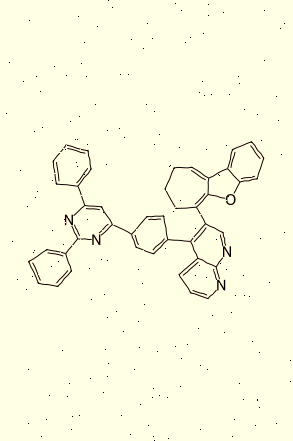 C1=c2c(oc3ccccc23)=C(c2cnc3ncccc3c2-c2ccc(-c3cc(-c4ccccc4)nc(-c4ccccc4)n3)cc2)CCC1